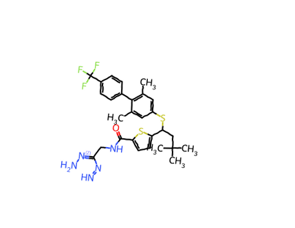 Cc1cc(SC(CC(C)(C)C)c2ccc(C(=O)NC/C(N=N)=N/N)s2)cc(C)c1-c1ccc(C(F)(F)F)cc1